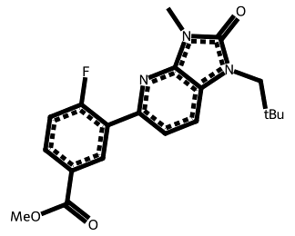 COC(=O)c1ccc(F)c(-c2ccc3c(n2)n(C)c(=O)n3CC(C)(C)C)c1